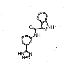 O=C(Nc1cccc(-c2nnn[nH]2)c1)c1n[nH]c2ccccc12